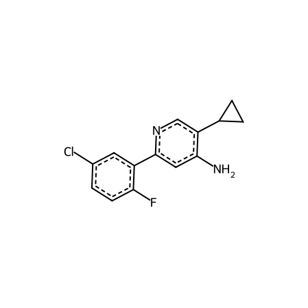 Nc1cc(-c2cc(Cl)ccc2F)ncc1C1CC1